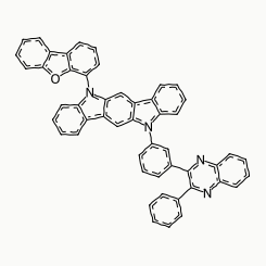 c1ccc(-c2nc3ccccc3nc2-c2cccc(-n3c4ccccc4c4cc5c(cc43)c3ccccc3n5-c3cccc4c3oc3ccccc34)c2)cc1